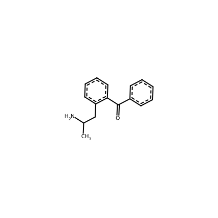 CC(N)Cc1ccccc1C(=O)c1ccccc1